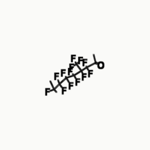 CC(=O)C(F)(F)C(F)(C(F)(F)F)C(F)(F)C(F)(F)C(F)(F)C(C)(C)F